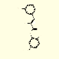 C/C(=C\c1cccc(Br)c1)C(=O)Nc1cc(C(=O)O)ccc1Cl